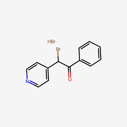 Br.O=C(c1ccccc1)C(Br)c1ccncc1